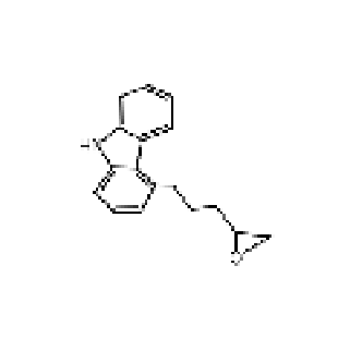 c1ccc2c(c1)[nH]c1cccc(CCCC3CO3)c12